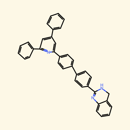 c1ccc(-c2cc(-c3ccccc3)nc(-c3ccc(-c4ccc(C5=Nc6ccccc6CN5)cc4)cc3)c2)cc1